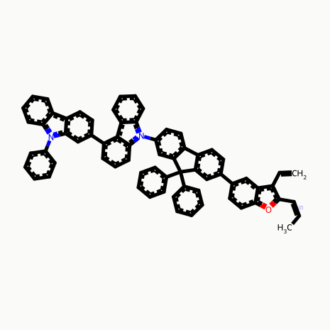 C=Cc1c(/C=C\C)oc2ccc(-c3ccc4c(c3)C(c3ccccc3)(c3ccccc3)c3cc(-n5c6ccccc6c6c(-c7ccc8c9ccccc9n(-c9ccccc9)c8c7)cccc65)ccc3-4)cc12